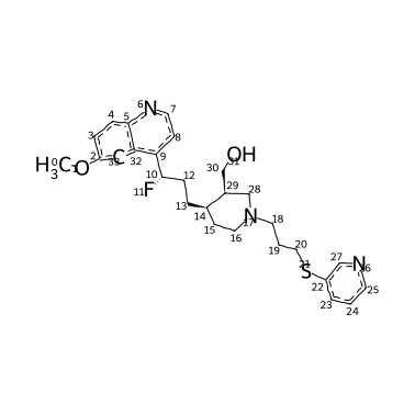 COc1ccc2nccc([C@@H](F)CC[C@@H]3CCN(CCCSc4cccnc4)C[C@@H]3CO)c2c1